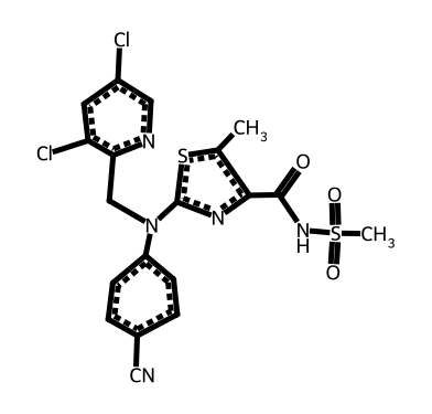 Cc1sc(N(Cc2ncc(Cl)cc2Cl)c2ccc(C#N)cc2)nc1C(=O)NS(C)(=O)=O